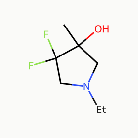 CCN1CC(C)(O)C(F)(F)C1